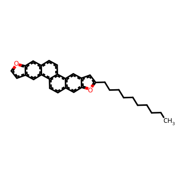 CCCCCCCCCCc1cc2cc3c(ccc4c5cc6ccoc6cc5ccc34)cc2o1